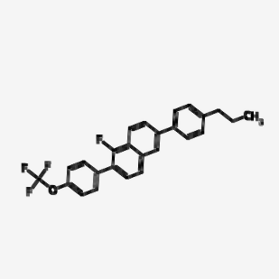 CCCc1ccc(-c2ccc3c(F)c(-c4ccc(OC(F)(F)F)cc4)ccc3c2)cc1